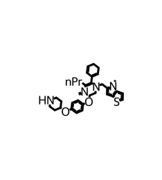 C=N/C(CCC)=C(/C1=CCCC=C1)N(CCOc1ccc(OC2CCNCC2)cc1)Cc1cc2sccc2n1C